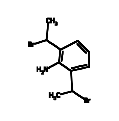 CC(Br)c1cccc(C(C)Br)c1N